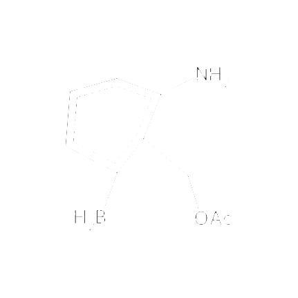 Bc1cccc(N)c1COC(C)=O